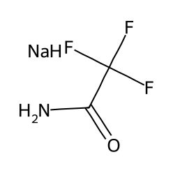 NC(=O)C(F)(F)F.[NaH]